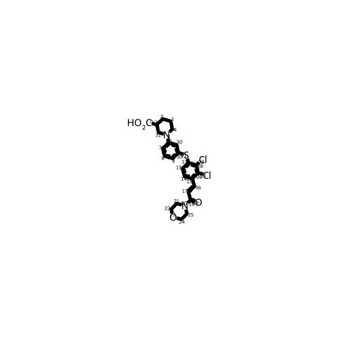 O=C(O)C1CCCN(c2cccc(Sc3ccc(C=CC(=O)N4CCOCC4)c(Cl)c3Cl)c2)C1